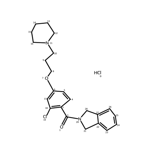 Cl.O=C(c1ccc(OCCCN2CCCCC2)cc1Cl)N1Cc2ccccc2C1